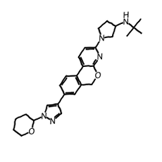 CC(C)(C)NC1CCN(c2ccc3c(n2)OCc2cc(-c4cnn(C5CCCCO5)c4)ccc2-3)C1